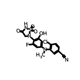 CN(c1cc(O)c(N2CC(=O)NS2(=O)=O)c(F)c1)c1cc(C#N)ccc1Cl